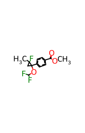 COC(=O)c1ccc(C2(OC(F)F)CC2(C)F)cc1